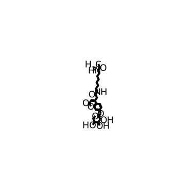 CC(=O)NCCCCCCNC(=O)Cc1cc(=O)oc2cc(OC3OCC(O)C(O)C3O)ccc12